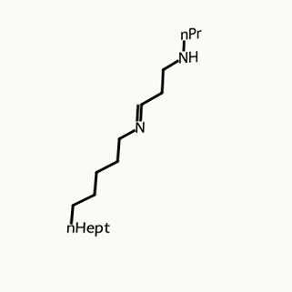 CCCCCCCCCCCCN=CCCNCCC